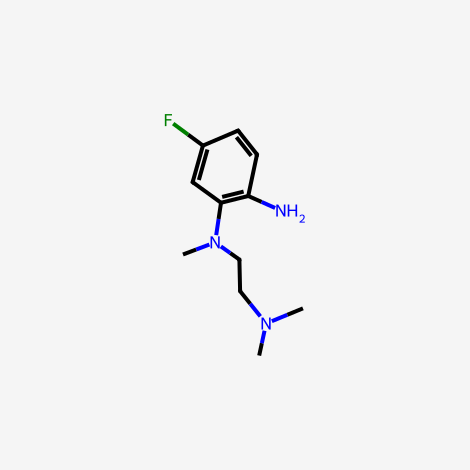 CN(C)CCN(C)c1cc(F)ccc1N